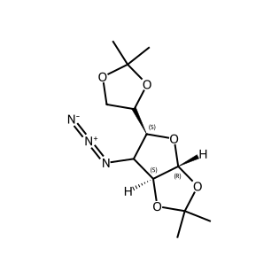 CC1(C)OCC([C@H]2O[C@@H]3OC(C)(C)O[C@H]3C2N=[N+]=[N-])O1